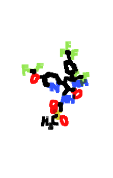 CS(=O)(=O)CC(=O)NCC1=C(c2ccc(OC(F)F)cn2)C[C@@](c2ccc(C(F)(F)F)cc2)(C(F)(F)F)NC1=O